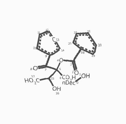 CCCCCCCCCCO.O=C(OC(C(=O)O)(C(=O)c1ccccc1)C(O)C(=O)O)c1ccccc1